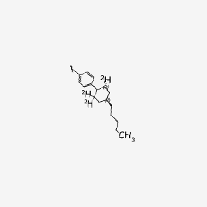 [2H][C@@H]1C[C@@H](CCCCC)CC([2H])([2H])C1c1ccc(I)cc1